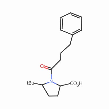 CC(C)(C)C1CCC(C(=O)O)N1C(=O)CCCc1ccccc1